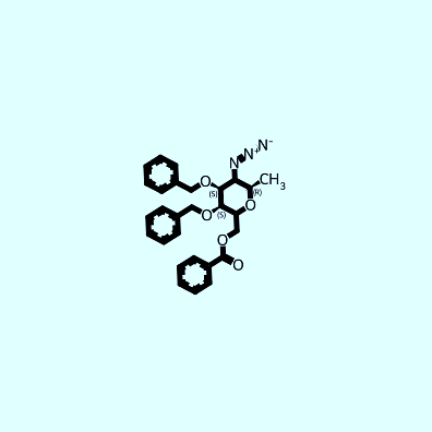 C[C@H]1OC(COC(=O)c2ccccc2)[C@@H](OCc2ccccc2)[C@@H](OCc2ccccc2)C1N=[N+]=[N-]